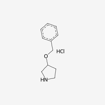 Cl.c1ccc(COC2CCNC2)cc1